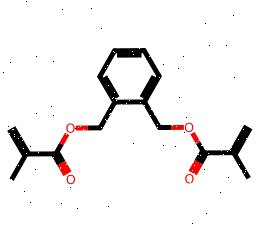 C=C(C)C(=O)OCc1ccccc1COC(=O)C(=C)C